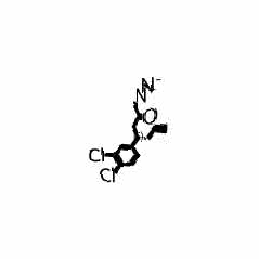 C=CC[C@@H](CC(=O)C=[N+]=[N-])c1ccc(Cl)c(Cl)c1